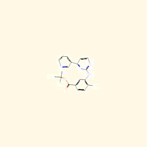 Cc1ccc(C(=O)OC(C)(C)C)cc1Nc1nccc(-c2cccnc2)n1